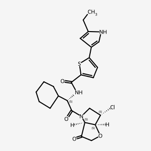 CCc1cc(-c2ccc(C(=O)N[C@H](C(=O)N3C[C@H](Cl)[C@H]4OCC(=O)[C@H]43)C3CCCCC3)s2)c[nH]1